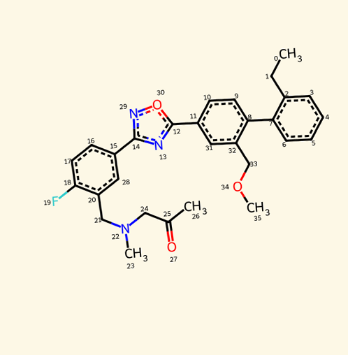 CCc1ccccc1-c1ccc(-c2nc(-c3ccc(F)c(CN(C)CC(C)=O)c3)no2)cc1COC